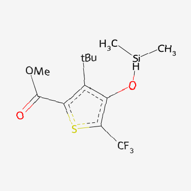 COC(=O)c1sc(C(F)(F)F)c(O[SiH](C)C)c1C(C)(C)C